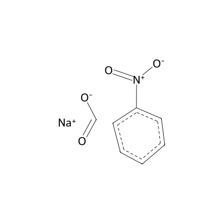 O=C[O-].O=[N+]([O-])c1ccccc1.[Na+]